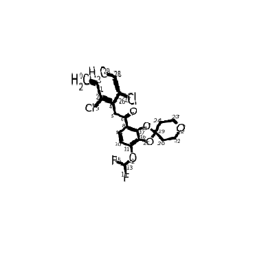 C=C/C(Cl)=C(CC(=O)c1ccc(OC(F)F)c2c1OC1(CCOCC1)O2)\C(Cl)=C/C